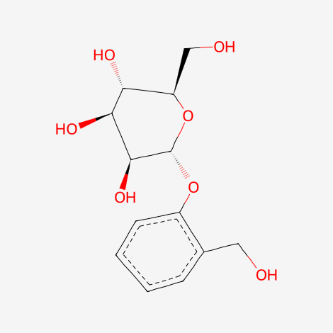 OCc1ccccc1O[C@H]1O[C@H](CO)[C@@H](O)[C@H](O)[C@@H]1O